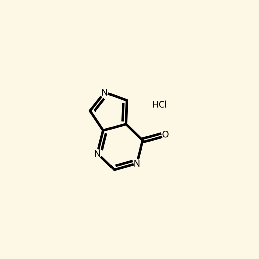 Cl.O=C1N=CN=C2C=NC=C12